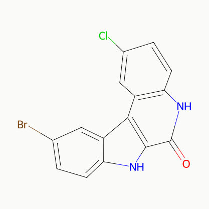 O=c1[nH]c2ccc(Cl)cc2c2c1[nH]c1ccc(Br)cc12